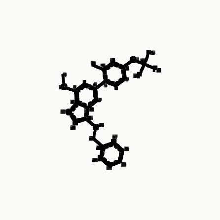 COc1cc(-c2ccc(OC(F)(F)F)cc2C)cc2c(OCc3ncccn3)noc12